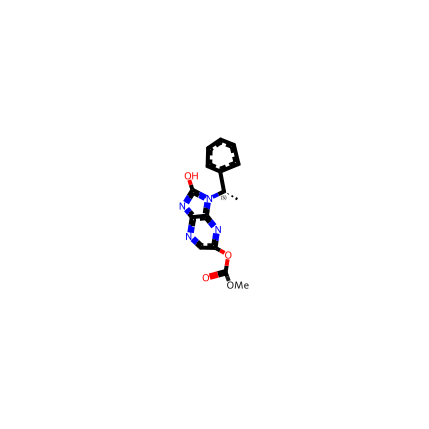 COC(=O)Oc1cnc2nc(O)n([C@@H](C)c3ccccc3)c2n1